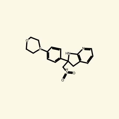 O=[SH](=O)CC1(c2ccc(N3CCOCC3)cc2)Cc2[c]ccnc2N1